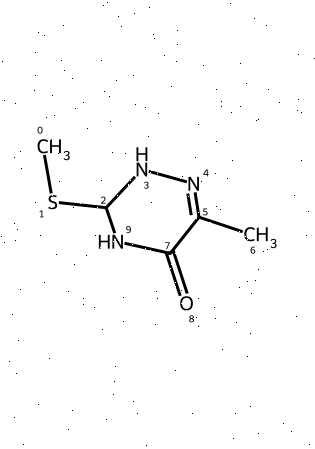 CSC1NN=C(C)C(=O)N1